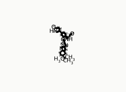 CC(C)(C)[C@H]1CCc2nc3sc(C(=O)N[C@H](CC=O)c4ccc(-c5ccc(=O)[nH]c5)cc4)nc3cc2C1